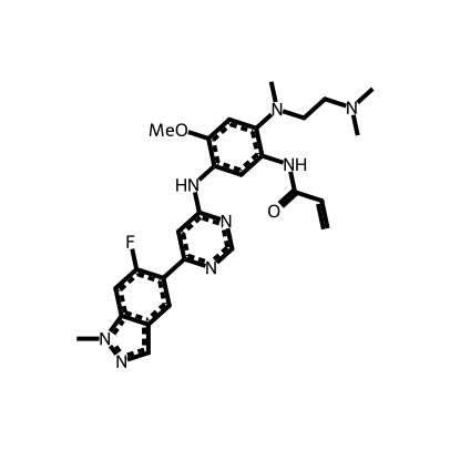 C=CC(=O)Nc1cc(Nc2cc(-c3cc4cnn(C)c4cc3F)ncn2)c(OC)cc1N(C)CCN(C)C